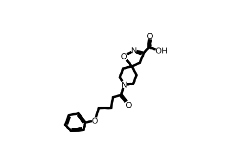 O=C(O)C1=NOC2(CCN(C(=O)CCCOc3ccccc3)CC2)C1